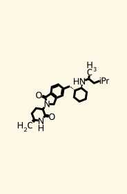 C=C1CCC(N2Cc3cc(C[C@H]4CCCC[C@@H]4NC(C)CC(C)C)ccc3C2=O)C(=O)N1